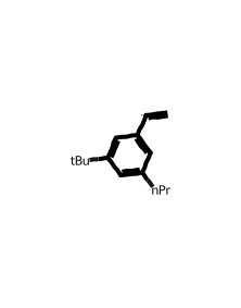 C=[C]c1cc(CCC)cc(C(C)(C)C)c1